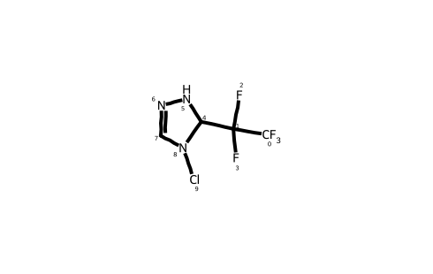 FC(F)(F)C(F)(F)C1NN=CN1Cl